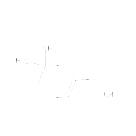 CCC1=CCCC(C)(C)C1